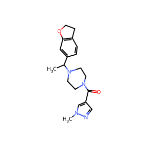 CC(c1ccc2c(c1)OCC2)N1CCN(C(=O)c2cnn(C)c2)CC1